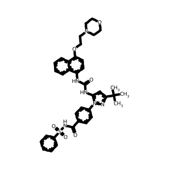 CC(C)(C)c1cc(NC(=O)Nc2ccc(OCCN3CCOCC3)c3ccccc23)n(-c2ccc(C(=O)NS(=O)(=O)c3ccccc3)cc2)n1